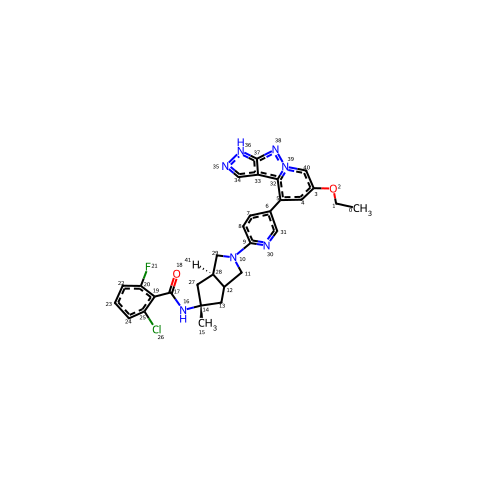 CCOc1cc(-c2ccc(N3CC4C[C@](C)(NC(=O)c5c(F)cccc5Cl)C[C@H]4C3)nc2)c2c3cn[nH]c3nn2c1